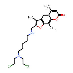 Cc1cc(=O)oc2c(C)c3oc(CNCCCCCN(CCCl)CCCl)c(C)c3cc12